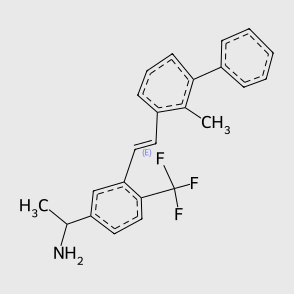 Cc1c(/C=C/c2cc(C(C)N)ccc2C(F)(F)F)cccc1-c1ccccc1